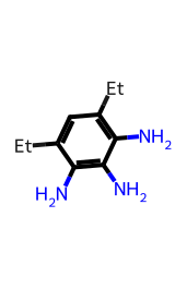 CCc1cc(CC)c(N)c(N)c1N